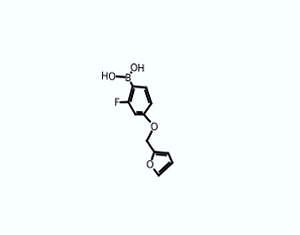 OB(O)c1ccc(OCc2ccco2)cc1F